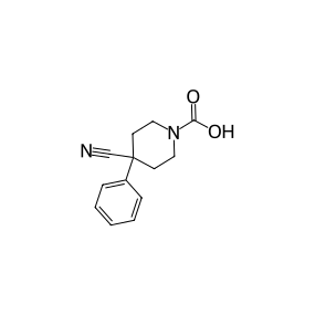 N#CC1(c2ccccc2)CCN(C(=O)O)CC1